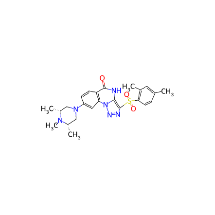 Cc1ccc(S(=O)(=O)c2nnn3c2[nH]c(=O)c2ccc(N4C[C@@H](C)N(C)[C@@H](C)C4)cc23)c(C)c1